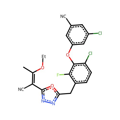 CCOC(C)=C(C#N)c1nnc(Cc2ccc(Cl)c(Oc3cc(Cl)cc(C#N)c3)c2F)o1